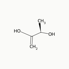 C=C(O)[C@@H](C)O